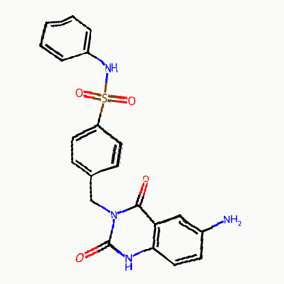 Nc1ccc2[nH]c(=O)n(Cc3ccc(S(=O)(=O)Nc4ccccc4)cc3)c(=O)c2c1